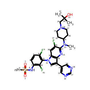 CCCS(=O)(=O)Nc1ccc(F)c(-n2cc(-c3cncnc3)c3nc(N(C)C4CCN(CC(C)(C)O)CC4)c(F)cc32)c1F